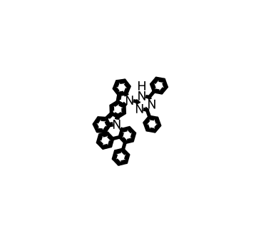 c1ccc(C2=NC(c3ccccc3)NC(n3c4ccccc4c4cc5c6ccccc6n(-c6cccc(-c7ccccc7)c6-c6ccccc6)c5cc43)=N2)cc1